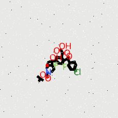 CCC(O)(c1cc(F)c(C(=O)c2ccc(Cl)cc2)c(C(=O)C(=O)O)c1)C1(F)CCN(C(=O)OC(C)(C)C)CC1